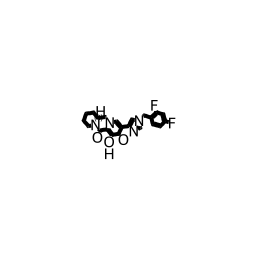 O=C1c2c(O)c(=O)c(-c3cn(Cc4ccc(F)cc4F)cn3)cn2C[C@H]2CCCCN12